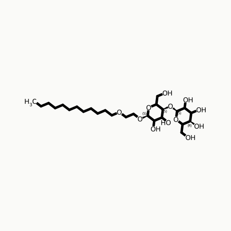 CCCCCCCCCCCCOCCO[C@H]1OC(CO)[C@@H](O[C@@H]2OC(CO)[C@H](O)C(O)C2O)C(O)C1O